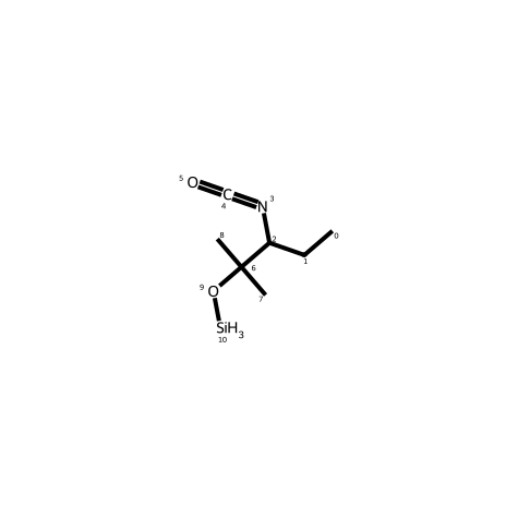 CCC(N=C=O)C(C)(C)O[SiH3]